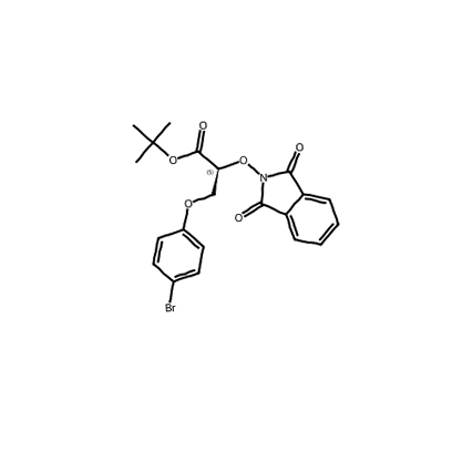 CC(C)(C)OC(=O)[C@H](COc1ccc(Br)cc1)ON1C(=O)c2ccccc2C1=O